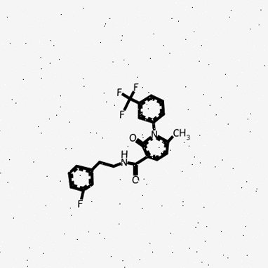 Cc1ccc(C(=O)NCCc2cccc(F)c2)c(=O)n1-c1cccc(C(F)(F)F)c1